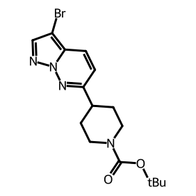 CC(C)(C)OC(=O)N1CCC(c2ccc3c(Br)cnn3n2)CC1